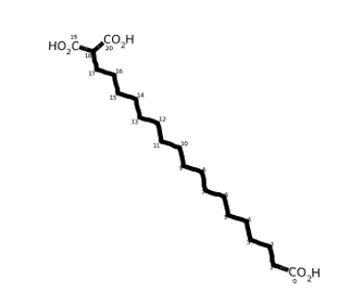 O=C(O)CCCCCCCCCCCCCCCCCC(C(=O)O)C(=O)O